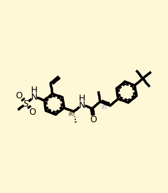 C=Cc1cc([C@@H](C)NC(=O)/C(C)=C/c2ccc(C(C)(C)C)cc2)ccc1NS(C)(=O)=O